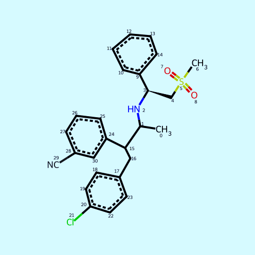 CC(N[C@H](CS(C)(=O)=O)c1ccccc1)C(Cc1ccc(Cl)cc1)c1cccc(C#N)c1